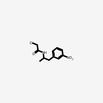 CC(Cc1cccc([N+](=O)[O-])c1)NC(=O)CCl